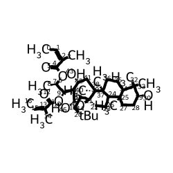 C/C=C(/C)C(=O)O[C@H](C)[C@H](OC(=O)/C(C)=C\C)[C@@]12C(CC(C)(C)C)[C@]3(CCC4[C@@]5(C)CC[C@H](O)C(C)(C)C5CC[C@@]4(C)[C@]3(C)C[C@H]1O)O[C@@H]2O